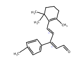 CC1=C(/C=C/C(=C\C=O)c2ccc(C)cc2)C(C)(C)CCC1